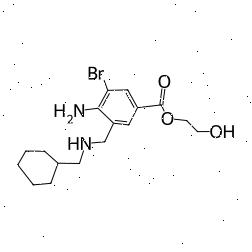 Nc1c(Br)cc(C(=O)OCCO)cc1CNCC1CCCCC1